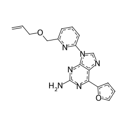 C=CCOCc1cccc(-n2cnc3c(-c4ccco4)nc(N)nc32)n1